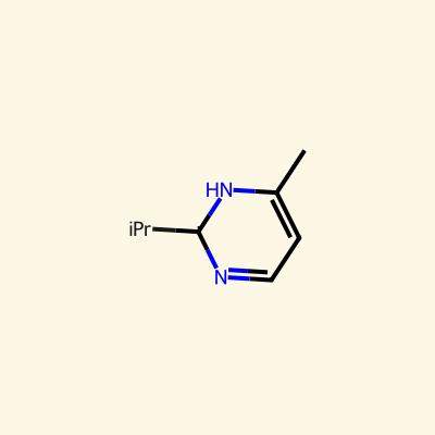 CC1=CC=N[C](C(C)C)N1